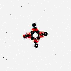 Oc1cc(O)c2cc1[C@H](c1ccc(C3CCCCC3)cc1)c1cc(c(O)cc1O)[C@H](c1ccc(C3CCCCC3)cc1)c1cc(c(O)cc1O)[C@@H](c1ccc(C3CCCCC3)cc1)c1cc(c(O)cc1O)[C@H]2c1ccc(C2CCCCC2)cc1